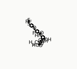 CCC(C(=O)O)S(=O)(=O)Nc1cc(NC(=O)c2ccc(COc3ccc(SC(F)(F)F)cc3)c(F)c2)ccc1O